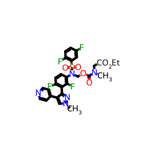 CCOC(=O)CN(C)C(=O)OCN(c1ccc(F)c(-c2nn(C)cc2-c2ccncc2)c1F)S(=O)(=O)c1cc(F)ccc1F